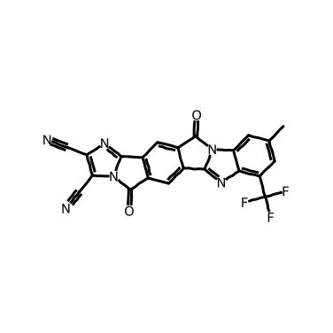 Cc1cc(C(F)(F)F)c2nc3c4cc5c(=O)n6c(C#N)c(C#N)nc6c5cc4c(=O)n3c2c1